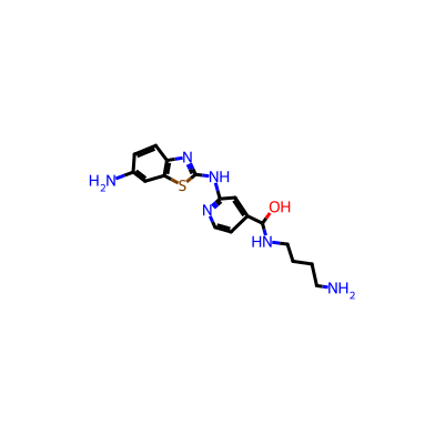 NCCCCNC(O)c1ccnc(Nc2nc3ccc(N)cc3s2)c1